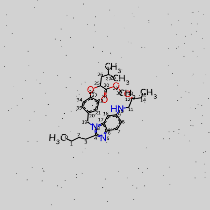 CCCCc1nc2ccc(NCC(=O)CC)cc2n1Cc1ccc(OC(CC(C)C)C(=O)OC)cc1